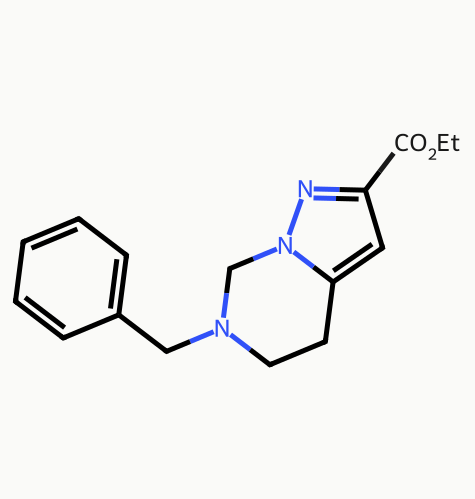 CCOC(=O)c1cc2n(n1)CN(Cc1ccccc1)CC2